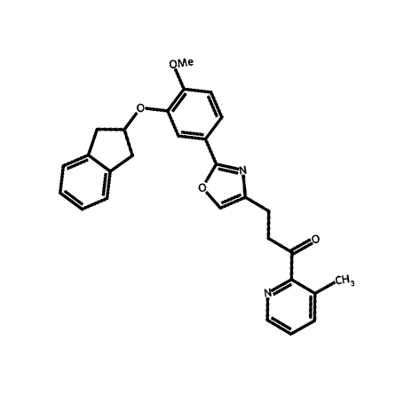 COc1ccc(-c2nc(CCC(=O)c3ncccc3C)co2)cc1OC1Cc2ccccc2C1